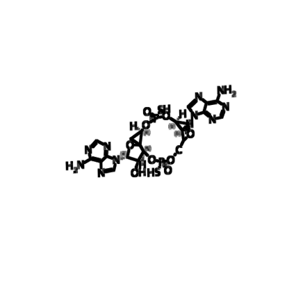 Nc1ncnc2c1ncn2[C@@H]1OC23C[C@H]2O[P@@](=O)(S)O[C@@H]2[C@H](F)C(CO[P@@](=O)(S)O[C@H]3[C@H]1O)O[C@H]2n1cnc2c(N)ncnc21